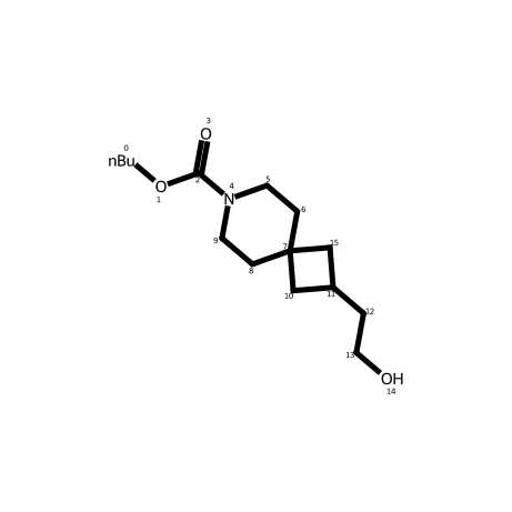 CCCCOC(=O)N1CCC2(CC1)CC(CCO)C2